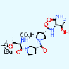 C[C@@H](O)[C@H](NC(=O)[C@H]1CCN(C(=O)[C@@H]2CCN(C(=O)[C@@H](NC(=O)O)[C@@H](C)O[Si](C)(C)C(C)(C)C)C2)C1)C(N)=O